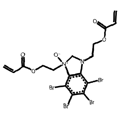 C=CC(=O)OCCN1C[N+]([O-])(CCOC(=O)C=C)c2c(Br)c(Br)c(Br)c(Br)c21